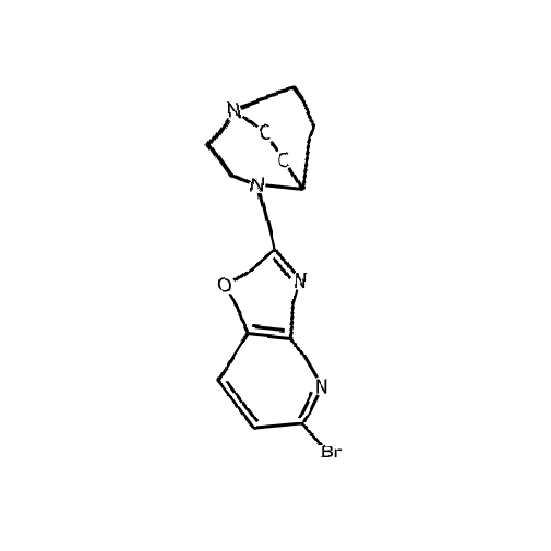 Brc1ccc2oc(N3CCN4CCC3CC4)nc2n1